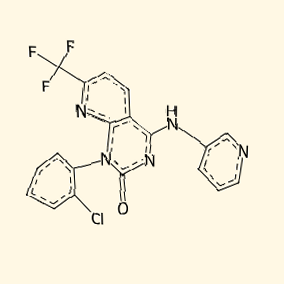 O=c1nc(Nc2cccnc2)c2ccc(C(F)(F)F)nc2n1-c1ccccc1Cl